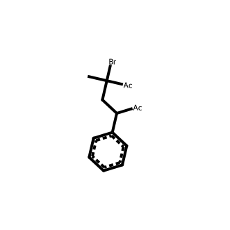 CC(=O)C(CC(C)(Br)C(C)=O)c1ccccc1